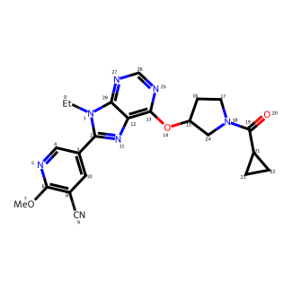 CCn1c(-c2cnc(OC)c(C#N)c2)nc2c(OC3CCN(C(=O)C4CC4)C3)ncnc21